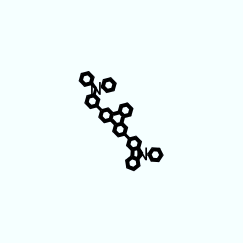 c1ccc(N(c2ccccc2)c2cccc(-c3ccc4c5ccc(-c6ccc7c(c6)c6ccccc6n7-c6ccccc6)cc5c5ccccc5c4c3)c2)cc1